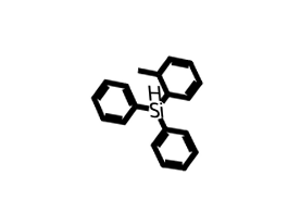 CC1C=CC=CC1[SiH](c1ccccc1)c1ccccc1